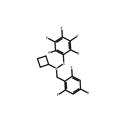 Fc1cc(F)c(CN(Sc2c(F)c(F)c(F)c(F)c2F)C2CCC2)c(F)c1